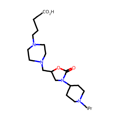 CC(C)N1CCC(N2CC(CN3CCN(CCCC(=O)O)CC3)OC2=O)CC1